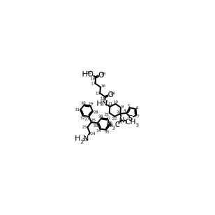 CN(C)C1(c2cccs2)CCC(NC(=O)CCCC(=O)O)CC1.NCCC(c1ccccc1)c1ccccc1